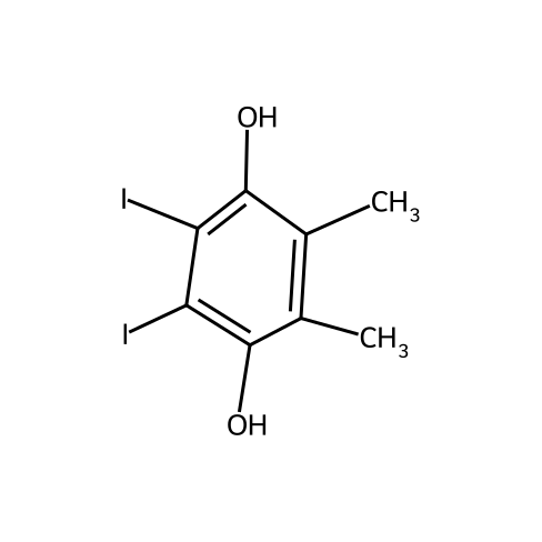 Cc1c(C)c(O)c(I)c(I)c1O